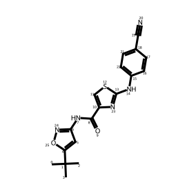 CC(C)(C)c1cc(NC(=O)c2csc(Nc3ccc(C#N)cc3)n2)no1